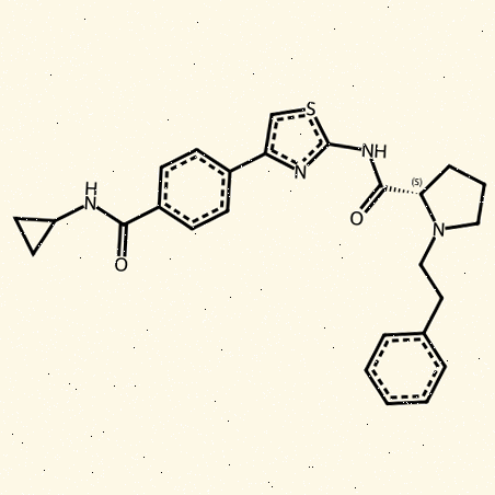 O=C(NC1CC1)c1ccc(-c2csc(NC(=O)[C@@H]3CCCN3CCc3ccccc3)n2)cc1